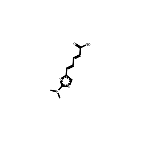 CN(C)c1ncc(/C=C/C=C/C(=O)N=O)s1